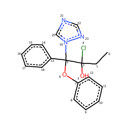 CCC(O)(Cl)C(Oc1ccccc1)(c1ccccc1)n1cncn1